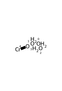 O.O.O.[O]=[Cr]